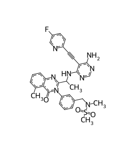 Cc1cccc2nc(C(C)Nc3ncnc(N)c3C#Cc3ccc(F)cn3)n(-c3cccc(CN(C)S(C)(=O)=O)c3)c(=O)c12